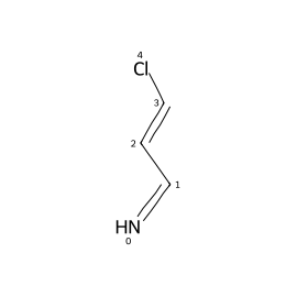 N=C/C=C/Cl